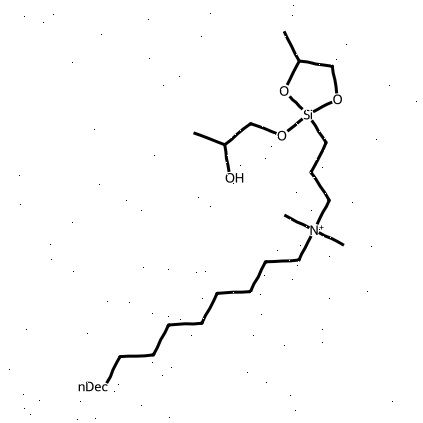 CCCCCCCCCCCCCCCCCC[N+](C)(C)CCC[Si]1(OCC(C)O)OCC(C)O1